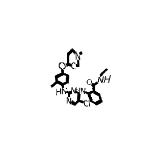 CCNC(=O)c1ccccc1Nc1nc(Nc2ccc(OC3CCN(C)CC3)cc2C)ncc1Cl